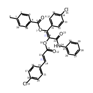 Cc1ccc(C(=O)O/C(=C(\OC(=O)/C=C/c2ccc(Cl)cc2)C(=O)Nc2ccccc2)c2ccc(Cl)cc2)cc1